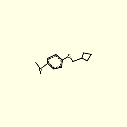 CN(C)c1ccc(SCC2CCC2)cc1